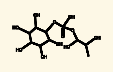 CC(O)C(O)OP(=O)(O)OC1C(O)C(O)C(O)C(O)C1O